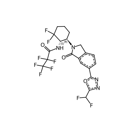 O=C1c2cc(-c3nnc(C(F)F)o3)ccc2CN1[C@@H]1CCCC(F)(F)[C@H]1NC(=O)C(F)(F)C(F)(F)F